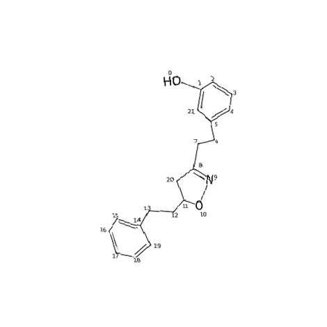 Oc1cccc(CCC2=NOC(CCc3ccccc3)C2)c1